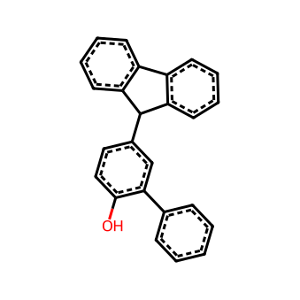 Oc1ccc(C2c3ccccc3-c3ccccc32)cc1-c1ccccc1